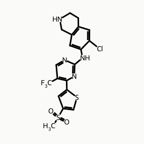 CS(=O)(=O)c1csc(-c2nc(Nc3cc4c(cc3Cl)CCNC4)ncc2C(F)(F)F)c1